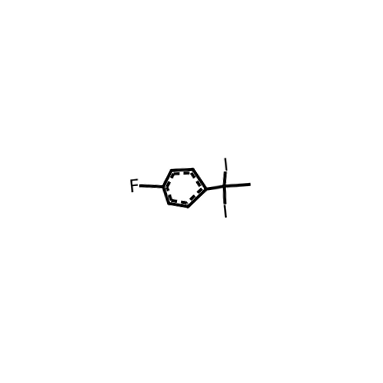 CC(I)(I)c1ccc(F)cc1